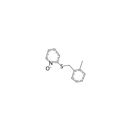 Cc1ccccc1CSc1cccc[n+]1[O-]